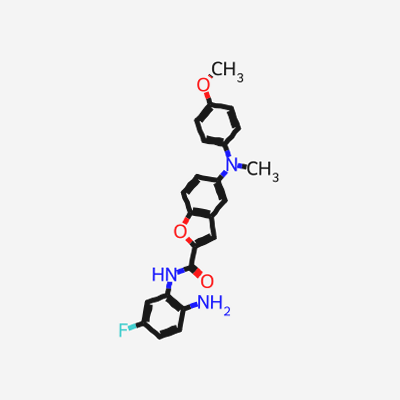 COc1ccc(N(C)c2ccc3oc(C(=O)Nc4cc(F)ccc4N)cc3c2)cc1